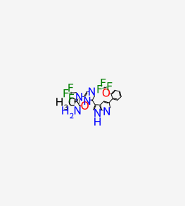 C[C@H](C(N)=O)N(CC(F)(F)F)c1cncc(-c2c[nH]c3ncc(-c4ccccc4OC(F)(F)F)cc23)n1